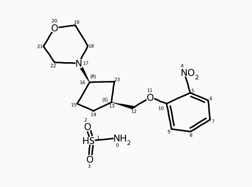 N[SH](=O)=O.O=[N+]([O-])c1ccccc1OC[C@H]1CC[C@@H](N2CCOCC2)C1